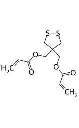 C=CC(=O)OCC1(COC(=O)C=C)CSSC1